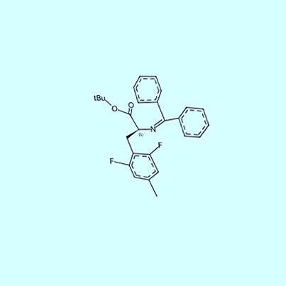 Cc1cc(F)c(C[C@H](N=C(c2ccccc2)c2ccccc2)C(=O)OC(C)(C)C)c(F)c1